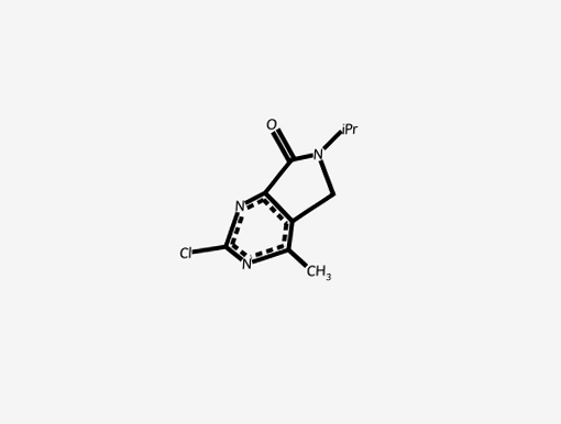 Cc1nc(Cl)nc2c1CN(C(C)C)C2=O